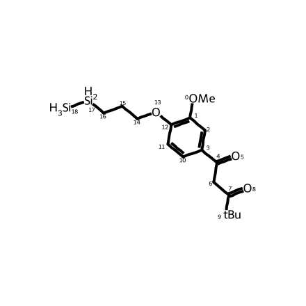 COc1cc(C(=O)CC(=O)C(C)(C)C)ccc1OCCC[SiH2][SiH3]